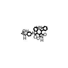 CB(O)N[C@H]1C=CC(n2c(Cl)c(C3=C(c4c[nH]c5ccccc45)C(=O)NC3=O)c3ccccc32)CC1